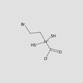 O=C([O-])[N+](S)(S)CCBr